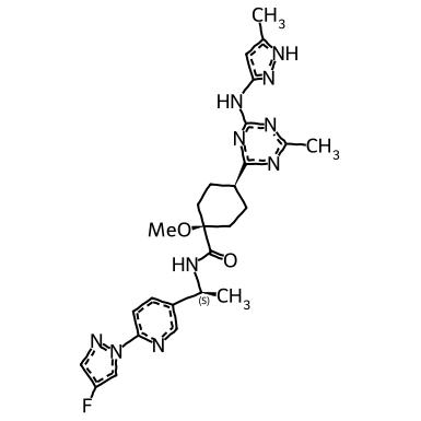 CO[C@]1(C(=O)N[C@@H](C)c2ccc(-n3cc(F)cn3)nc2)CC[C@H](c2nc(C)nc(Nc3cc(C)[nH]n3)n2)CC1